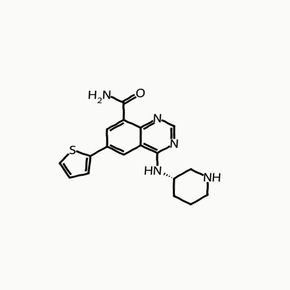 NC(=O)c1cc(-c2cccs2)cc2c(N[C@H]3CCCNC3)ncnc12